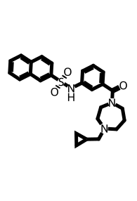 O=C(c1cccc(NS(=O)(=O)c2ccc3ccccc3c2)c1)N1CCCN(CC2CC2)CC1